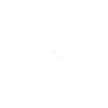 CCCc1cc2scc(C)n2n1